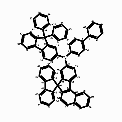 c1ccc(-c2ccc(N(c3ccc4c(c3)C(c3ccccc3)(c3ccccc3)c3ccccc3-4)c3ccc4c(c3)C3(c5ccccc5-c5ccccc53)c3ccc5ccccc5c3-4)cc2)cc1